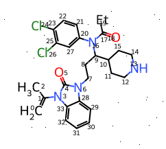 C=C(C)n1c(=O)n(CCC(C2CCNCC2)N(C(=O)CC)c2ccc(Cl)c(Cl)c2)c2ccccc21